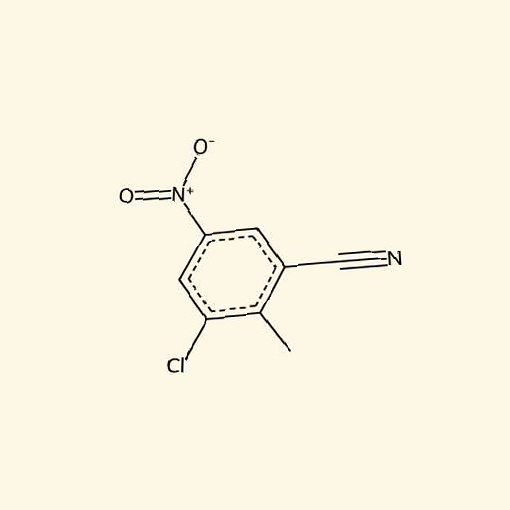 Cc1c(Cl)cc([N+](=O)[O-])cc1C#N